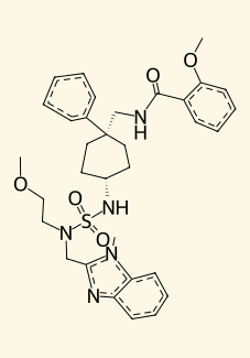 COCCN(Cc1nc2ccccc2n1C)S(=O)(=O)N[C@H]1CC[C@](CNC(=O)c2ccccc2OC)(c2ccccc2)CC1